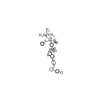 CC(C)N(C)CC[C@H](CSc1ccccc1)Nc1ccc(S(=O)(=O)Nc2ncnc3cc(N4CCN(CC5=C(c6ccc(Cl)cc6)CCCC5)CC4)ccc23)cc1[N+](=O)[O-]